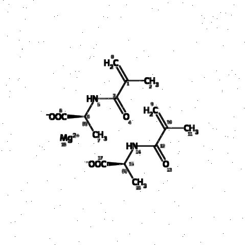 C=C(C)C(=O)N[C@@H](C)C(=O)[O-].C=C(C)C(=O)N[C@@H](C)C(=O)[O-].[Mg+2]